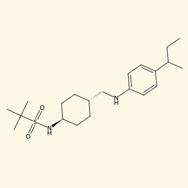 CCC(C)c1ccc(NC[C@H]2CC[C@H](NS(=O)(=O)C(C)(C)C)CC2)cc1